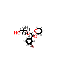 CC(C)(CO)COCC(OC1CCCCO1)c1cccc(Br)c1